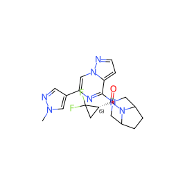 Cn1cc(-c2cn3nccc3c(N3CC4CCC(C3)N4C(=O)[C@@H]3CC3(F)F)n2)cn1